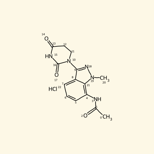 CC(=O)Nc1cccc2c(N3CCC(=O)NC3=O)nn(C)c12.Cl